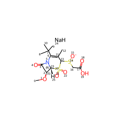 CO[C@H]1C(=O)N2C(C(C)(C)C)=C(C)C([S+]([O-])CC(=O)O)S(=O)(=O)[C@H]12.[NaH]